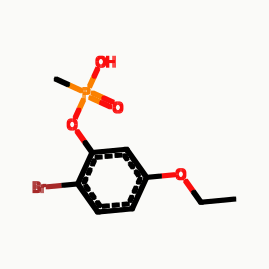 CCOc1ccc(Br)c(OP(C)(=O)O)c1